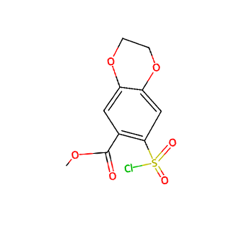 COC(=O)c1cc2c(cc1S(=O)(=O)Cl)OCCO2